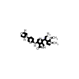 C=Nc1c(/C(=C\C)c2ncc(Nc3ccc(N4C[C@H]5C[C@@H]4CO5)cn3)c3c2CNC3=O)ccn1C